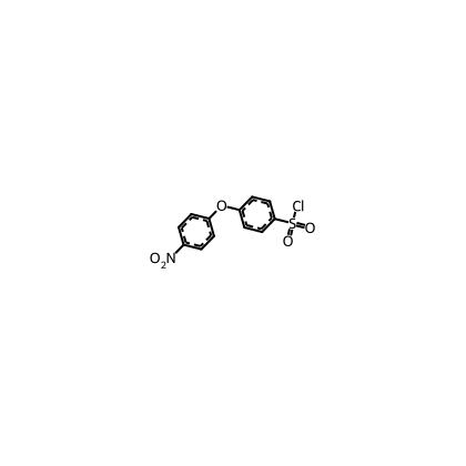 O=[N+]([O-])c1ccc(Oc2ccc(S(=O)(=O)Cl)cc2)cc1